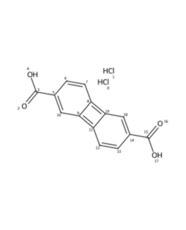 Cl.Cl.O=C(O)c1ccc2c(c1)=c1ccc(C(=O)O)cc1=2